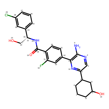 Nc1ncc(C2CCCC(O)C2)nc1-c1ccc(C(=O)N[C@H](CO)c2cccc(Cl)c2)c(F)c1